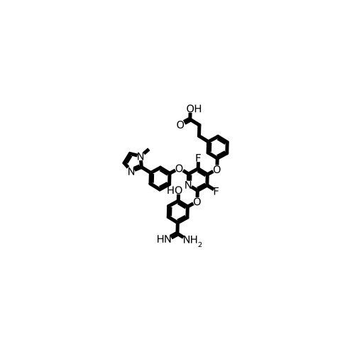 Cn1ccnc1-c1cccc(Oc2nc(Oc3cc(C(=N)N)ccc3O)c(F)c(Oc3cccc(CCC(=O)O)c3)c2F)c1